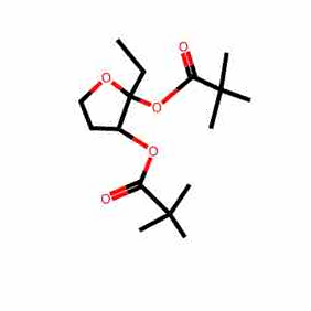 CCC1(OC(=O)C(C)(C)C)OCCC1OC(=O)C(C)(C)C